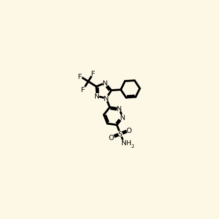 NS(=O)(=O)c1ccc(-n2nc(C(F)(F)F)nc2C2C=CCCC2)nn1